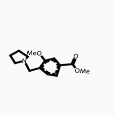 COC(=O)c1ccc(CN2CCCC2)c(OC)c1